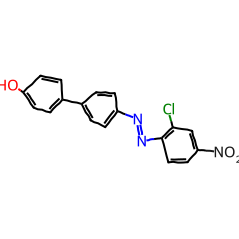 O=[N+]([O-])c1ccc(N=Nc2ccc(-c3ccc(O)cc3)cc2)c(Cl)c1